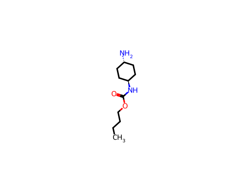 CCCCOC(=O)N[C@H]1CC[C@H](N)CC1